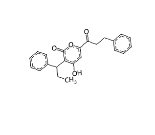 CCC(c1ccccc1)c1c(O)cc(C(=O)CCc2ccccc2)oc1=O